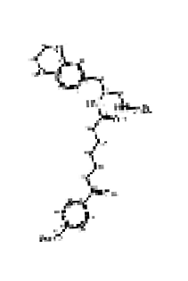 CCCCNC[C@H](Cc1ccc2c(c1)OCCO2)NC(=O)CCCCCC(=O)c1ccc(OC)cc1